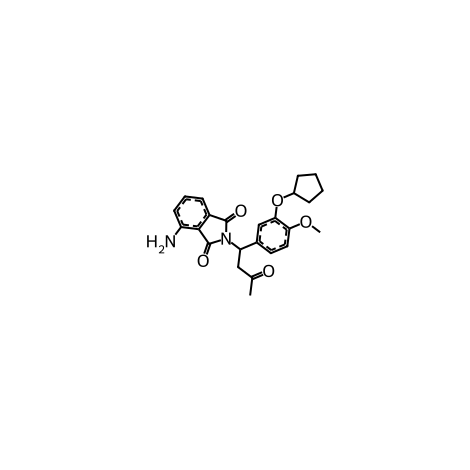 COc1ccc(C(CC(C)=O)N2C(=O)c3cccc(N)c3C2=O)cc1OC1CCCC1